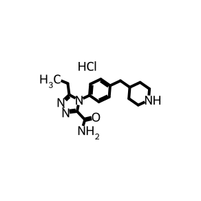 CCc1nnc(C(N)=O)n1-c1ccc(CC2CCNCC2)cc1.Cl